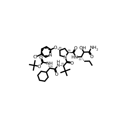 CCC[C@H](NC(=O)[C@@H]1C[C@@H](Oc2ccc(Cl)cn2)CN1C(=O)[C@@H](NC(=O)[C@@H](NC(=O)OC(C)(C)C)C1CCCCC1)C(C)(C)C)C(O)C(N)=O